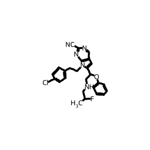 CC(F)CNCC(Oc1ccccc1)c1cc2cnc(C#N)nc2n1CCc1ccc(Cl)cc1